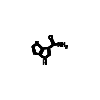 NC(=O)c1c[nH]c2ccsc12